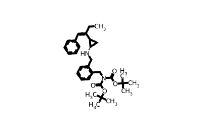 CCC(=Cc1ccccc1)C1C[C@@H]1NCc1ccccc1CN(C(=O)OC(C)(C)C)C(=O)OC(C)(C)C